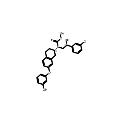 CC(C)(C)OC(=O)N(C[C@@H](O)c1cccc(Cl)c1)[C@H]1CCc2ccc(Oc3cccc(O)c3)cc2C1